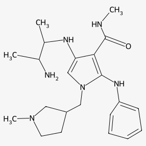 CNC(=O)c1c(NC(C)C(C)N)cn(CC2CCN(C)C2)c1Nc1ccccc1